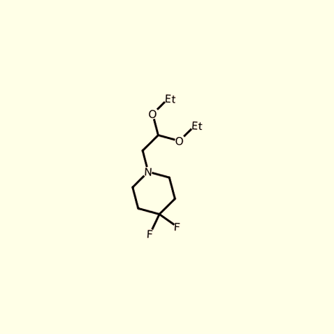 CCOC(CN1CCC(F)(F)CC1)OCC